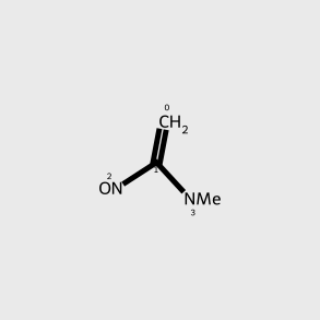 C=C(N=O)NC